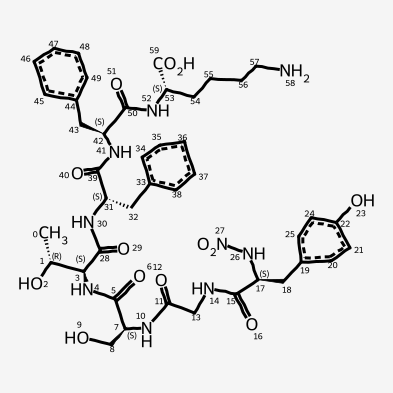 C[C@@H](O)[C@H](NC(=O)[C@H](CO)NC(=O)CNC(=O)[C@H](Cc1ccc(O)cc1)N[N+](=O)[O-])C(=O)N[C@@H](Cc1ccccc1)C(=O)N[C@@H](Cc1ccccc1)C(=O)N[C@@H](CCCCN)C(=O)O